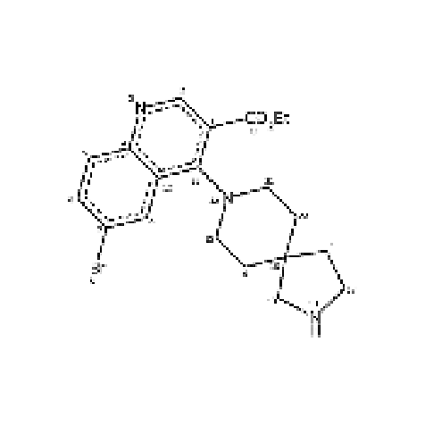 CCOC(=O)c1cnc2ccc(Br)cc2c1N1CCC2(CCNC2)CC1